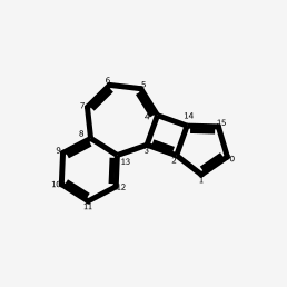 C1=CC2=C3C(=CC=Cc4ccccc43)C2=C1